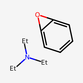 CCN(CC)CC.c1ccc2c(c1)O2